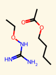 CCCCOC(C)=O.CCONC(=N)N